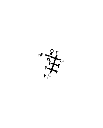 CCCS(=O)(=O)C(F)(Cl)C(F)(F)C(F)(F)C(F)(F)F